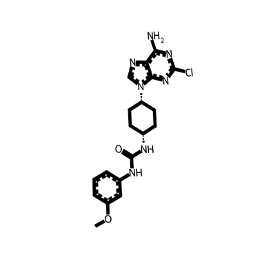 COc1cccc(NC(=O)N[C@H]2CC[C@@H](n3cnc4c(N)nc(Cl)nc43)CC2)c1